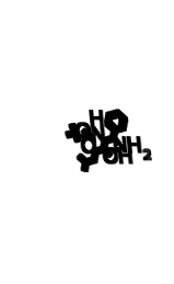 CC(C)CCC(O)C(NC(=O)OC(C)(C)C)C(N)c1ccccc1